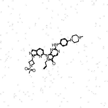 C=CCn1c(=O)c2cnc(Nc3ccc(N4CCN(C)CC4)cc3)nc2n1-c1ccc2cnn(C3CN(S(C)(=O)=O)C3)c2n1